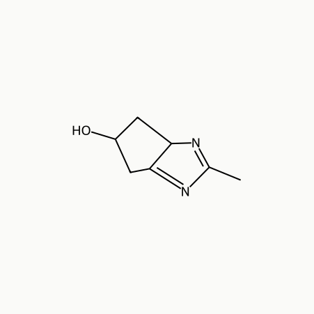 CC1=NC2CC(O)CC2=N1